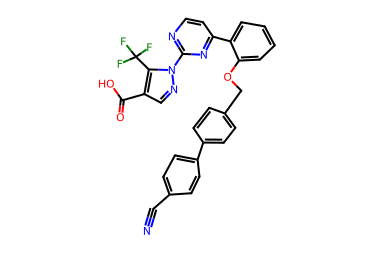 N#Cc1ccc(-c2ccc(COc3ccccc3-c3ccnc(-n4ncc(C(=O)O)c4C(F)(F)F)n3)cc2)cc1